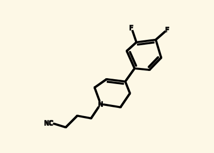 N#CCCCN1CC=C(c2ccc(F)c(F)c2)CC1